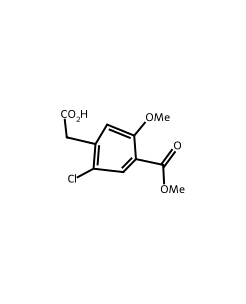 COC(=O)c1cc(Cl)c(CC(=O)O)cc1OC